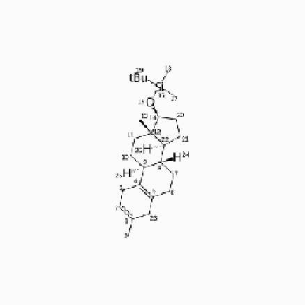 CC1=CCC2=C(CC[C@@H]3[C@@H]2CC[C@]2(C)[C@@H](O[Si](C)(C)C(C)(C)C)CC[C@@H]32)C1